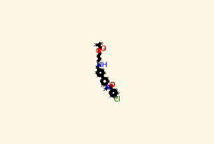 CC(C)C(=O)OCCCCNCc1ccc(C2CCC(N(C)C(=O)c3ccc(Cl)cc3)CC2)cc1